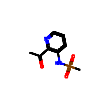 CC(=O)c1ncccc1NS(C)(=O)=O